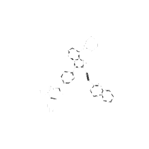 CC(C)[C@H](NC(=O)c1ccc(-c2c(C#Cc3ccc4ccccc4n3)nc3c(N4CCOCC4)ccnn23)cc1)C(=O)OC(C)(C)C